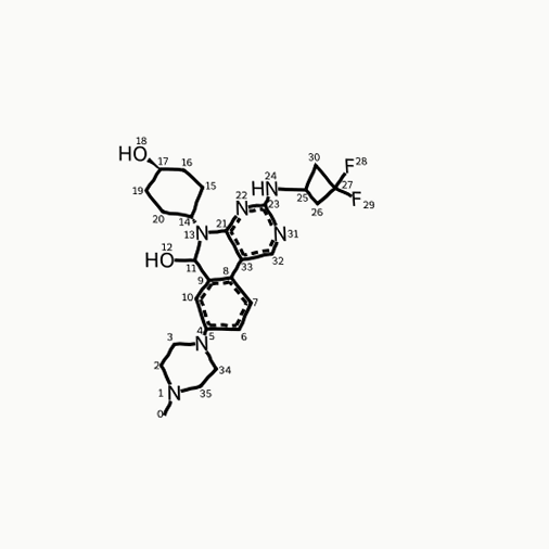 CN1CCN(c2ccc3c(c2)C(O)N([C@H]2CC[C@H](O)CC2)c2nc(NC4CC(F)(F)C4)ncc2-3)CC1